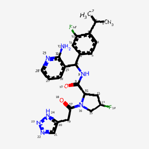 CC(C)c1ccc(C(NC(=O)C2CC(F)CN2C(=O)Cc2cnn[nH]2)c2cccnc2N)cc1F